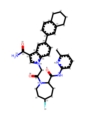 Cc1cccc(NC(=O)C2CCC(F)CCN2C(=O)Cn2cc(C(N)=O)c3cc(-c4ccc5c(c4)CCCC5)ccc32)n1